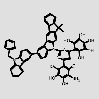 Bc1c(O)c(O)c(O)c(-c2cc(-c3c(O)c(O)c(O)c(O)c3O)nc(-n3c4ccc(-c5ccc6c(c5)c5ccccc5n6Cc5ccccc5)cc4c4cc5c(cc43)C(C)(C)c3ccccc3-5)n2)c1O